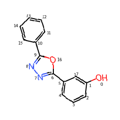 Oc1cccc(-c2nnc(-c3ccccc3)o2)c1